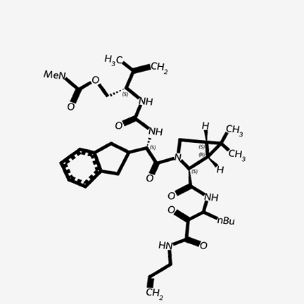 C=CCNC(=O)C(=O)C(CCCC)NC(=O)[C@@H]1[C@@H]2[C@H](CN1C(=O)[C@@H](NC(=O)N[C@H](COC(=O)NC)C(=C)C)C1Cc3ccccc3C1)C2(C)C